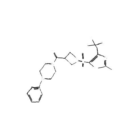 Cc1nc(C(F)(F)F)c(S(=O)(=O)N2CC(C(=O)N3CCN(c4ccccc4)CC3)C2)s1